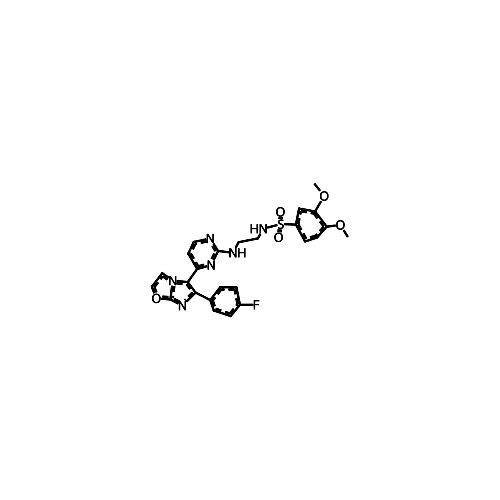 COc1ccc(S(=O)(=O)NCCNc2nccc(-c3c(-c4ccc(F)cc4)nc4occn34)n2)cc1OC